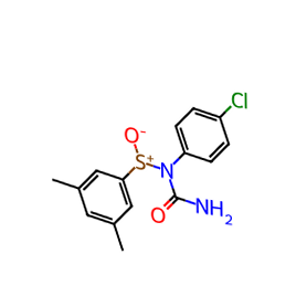 Cc1cc(C)cc([S+]([O-])N(C(N)=O)c2ccc(Cl)cc2)c1